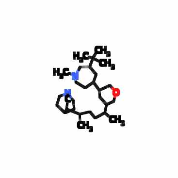 CC(CCC(C)C1CN2CCC1CC2)C1COCC(C2CCN(C)CC(C(C)(C)C)C2)C1